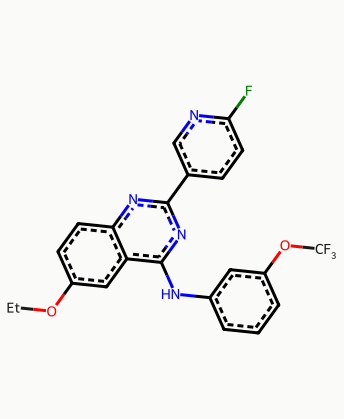 CCOc1ccc2nc(-c3ccc(F)nc3)nc(Nc3cccc(OC(F)(F)F)c3)c2c1